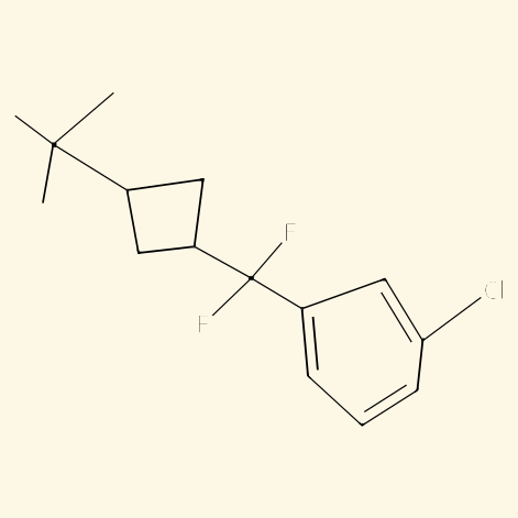 CC(C)(C)C1CC(C(F)(F)c2cccc(Cl)c2)C1